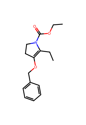 CCOC(=O)N1CCC(OCc2ccccc2)=C1CC